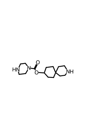 O=C(OC1CCC2(CCNCC2)CC1)N1CCNCC1